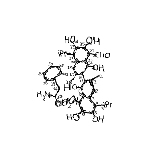 Cc1cc2c(C(C)C)c(O)c(O)c(C=O)c2c(O)c1-c1c(C)cc2c(C(C)C)c(O)c(O)c(C=O)c2c1O.N[C@@H](Cc1ccccc1)C(=O)O